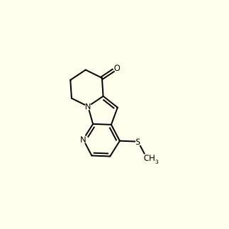 CSc1ccnc2c1cc1n2CCCC1=O